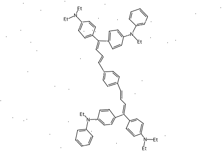 CCN(CC)c1ccc(C(=CC=Cc2ccc(C=CC=C(c3ccc(N(CC)CC)cc3)c3ccc(N(CC)c4ccccc4)cc3)cc2)c2ccc(N(CC)c3ccccc3)cc2)cc1